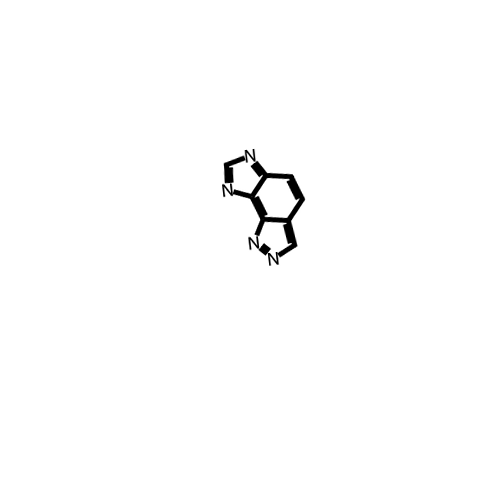 C1=Nc2c3c(ccc2=N1)=CN=N3